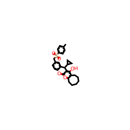 Cc1ccc(S(=O)(=O)Cc2cccc(C(c3c(O)c4c(oc3=O)CCCCCC4)C3CC3)c2)cc1